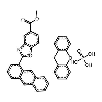 COC(=O)c1ccc2oc(-c3cccc4cc5ccccc5cc34)nc2c1.O=P(O)(O)O.c1ccc2c(c1)Cc1ccccc1O2